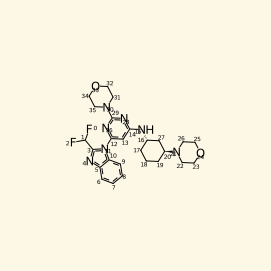 FC(F)c1nc2ccccc2n1-c1cc(N[C@H]2CCC[C@H](N3CCOCC3)C2)nc(N2CCOCC2)n1